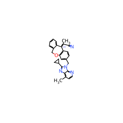 C/C(C#N)=C1\c2ccccc2COc2cc(Cn3c(C4CC4)nc4c(C)ccnc43)ccc21